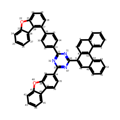 c1ccc2c(c1)ccc1c(-c3nc(-c4ccc(-c5cccc6oc7ccccc7c56)cc4)nc(-c4ccc5c(c4)oc4ccccc45)n3)cc3ccccc3c12